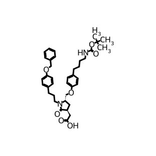 CC(C)(C)OC(=O)NCCCCc1ccc(OC[C@@H]2C[C@@H](CC(=O)O)C(=O)N2CCCc2ccc(OCc3ccccc3)cc2)cc1